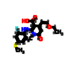 CCO/C=C\c1cc(=O)n(C)c(Nc2ccc(SC)cc2F)c1C(=O)O